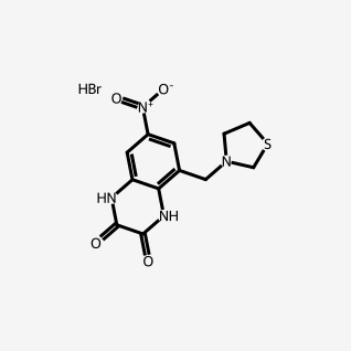 Br.O=c1[nH]c2cc([N+](=O)[O-])cc(CN3CCSC3)c2[nH]c1=O